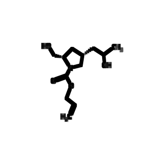 C=CCOC(=O)N1C[C@@H](CC(C)O)C[C@H]1CO